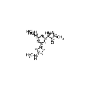 CN[C@H]1CCN(c2cc(-c3[nH]nc(C)c3Cl)nc(N)n2)C1.Cl.Cl